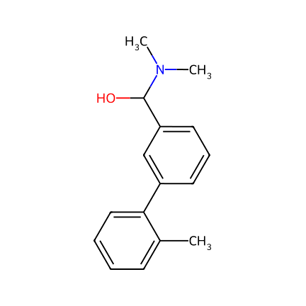 Cc1ccccc1-c1cccc(C(O)N(C)C)c1